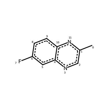 Cc1cnc2cc(F)ccc2n1